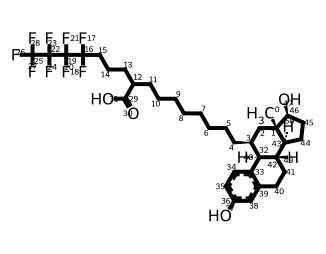 C[C@]12C[C@H](CCCCCCCCC(CCCC(F)(F)C(F)(F)C(F)(F)C(F)(F)F)C(=O)O)[C@@H]3c4ccc(O)cc4CC[C@H]3[C@@H]1CC[C@@H]2O